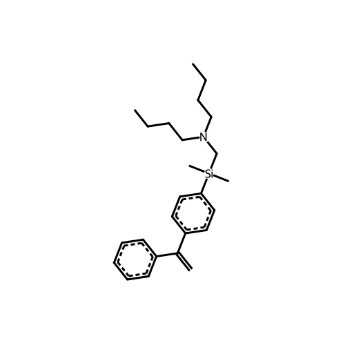 C=C(c1ccccc1)c1ccc([Si](C)(C)CN(CCCC)CCCC)cc1